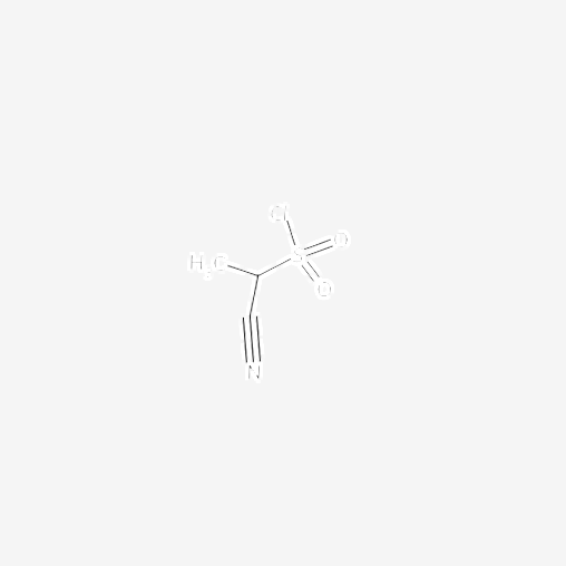 CC(C#N)S(=O)(=O)Cl